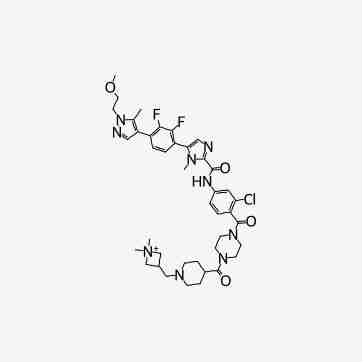 COCCn1ncc(-c2ccc(-c3cnc(C(=O)Nc4ccc(C(=O)N5CCN(C(=O)C6CCN(CC7C[N+](C)(C)C7)CC6)CC5)c(Cl)c4)n3C)c(F)c2F)c1C